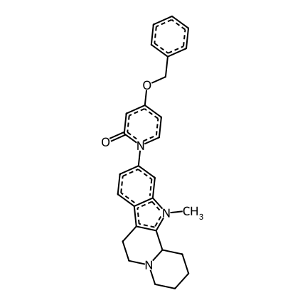 Cn1c2c(c3ccc(-n4ccc(OCc5ccccc5)cc4=O)cc31)CCN1CCCCC21